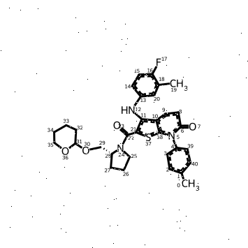 Cc1ccc(-n2c(=O)ccc3c(Nc4ccc(F)c(C)c4)c(C(=O)N4CCC[C@@H]4COC4CCCCO4)sc32)cc1